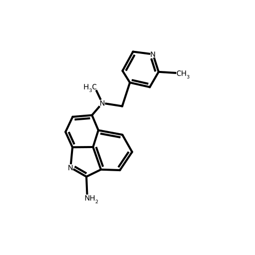 Cc1cc(CN(C)c2ccc3c4c(cccc24)C(N)=N3)ccn1